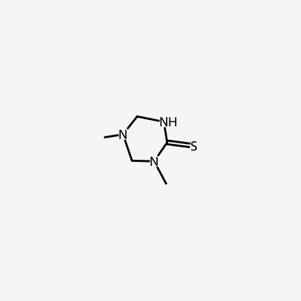 CN1CNC(=S)N(C)C1